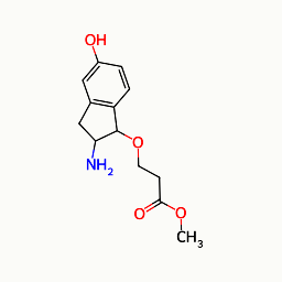 COC(=O)CCOC1c2ccc(O)cc2CC1N